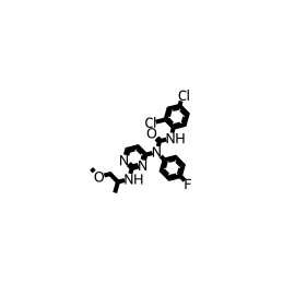 COCC(C)Nc1nccc(N(C(=O)Nc2ccc(Cl)cc2Cl)c2ccc(F)cc2)n1